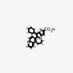 O=C(O)c1cc2c(s1)c(C1CCCCC1)c1n2CCCc2c-1ccc1ncccc21